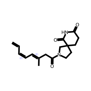 C=C/C=C\C=C(/C)CC(=O)N1CCC2(CCC(=O)NC2=O)C1